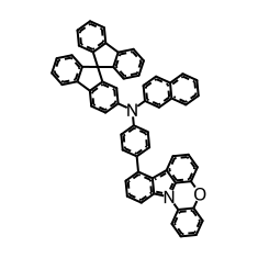 c1ccc2c(c1)Oc1cccc3c4c(-c5ccc(N(c6ccc7c(c6)C6(c8ccccc8-c8ccccc86)c6ccccc6-7)c6ccc7ccccc7c6)cc5)cccc4n-2c13